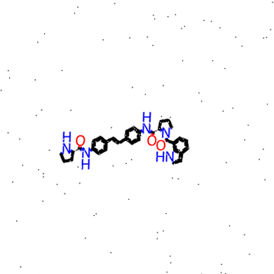 O=C(Nc1ccc(/C=C/c2ccc(NC(=O)[C@@H]3CCCN3C(=O)c3cccc4cc[nH]c34)cc2)cc1)[C@@H]1CCCN1